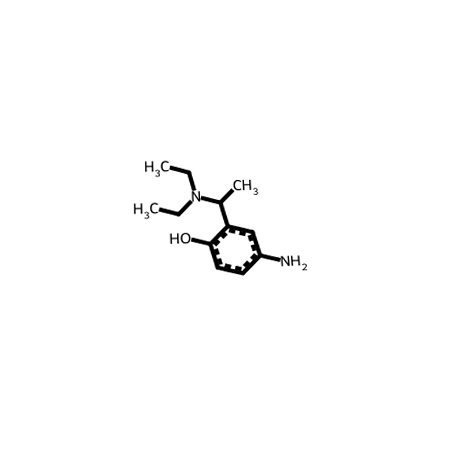 CCN(CC)C(C)c1cc(N)ccc1O